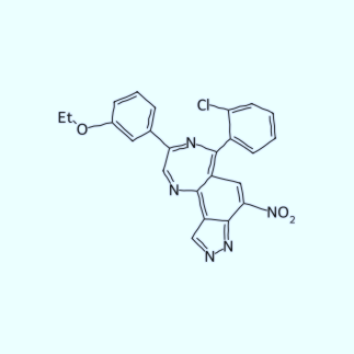 CCOc1cccc(-c2cnc3c(cc([N+](=O)[O-])c4nncc43)c(-c3ccccc3Cl)n2)c1